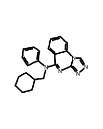 c1ccc(N(CC2CCCCC2)c2nc3nncn3c3ccccc23)cc1